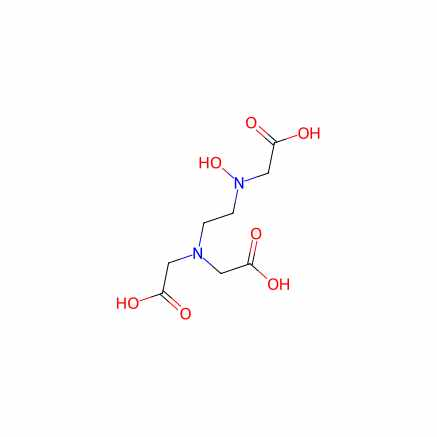 O=C(O)CN(O)CCN(CC(=O)O)CC(=O)O